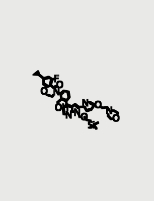 C[Si](C)(C)CCOCn1c(-c2ccc(OCCN3CCOCC3)cn2)cc2c(-c3cccc(N4CCOc5cc(C6CC6)cc(F)c5C4=O)c3CO)ccnc21